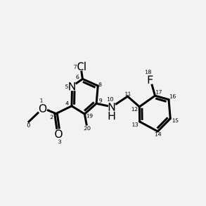 COC(=O)c1nc(Cl)cc(NCc2ccccc2F)c1C